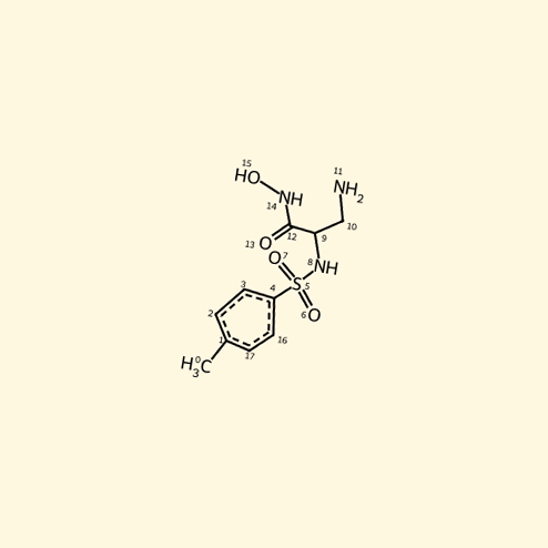 Cc1ccc(S(=O)(=O)NC(CN)C(=O)NO)cc1